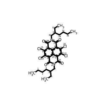 CCCCC(CC)CN1C(=O)c2c(Cl)c(Cl)c3c4c(c(Cl)c(Cl)c(c24)C1=O)C(=O)N(CC(CC)CCCC)C3=O